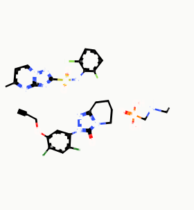 C#CCOc1cc(-n2nc3n(c2=O)CCCC3)c(Cl)cc1Cl.Cc1ccn2nc(S(=O)(=O)Nc3c(F)cccc3F)nc2n1.O=C(O)CNCP(=O)(O)O